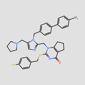 O=c1nc(SCc2ccc(F)cc2)n(Cc2ncc(CN3CCCC3)n2Cc2ccc(-c3ccc(C(F)(F)F)cc3)cc2)c2c1CCC2